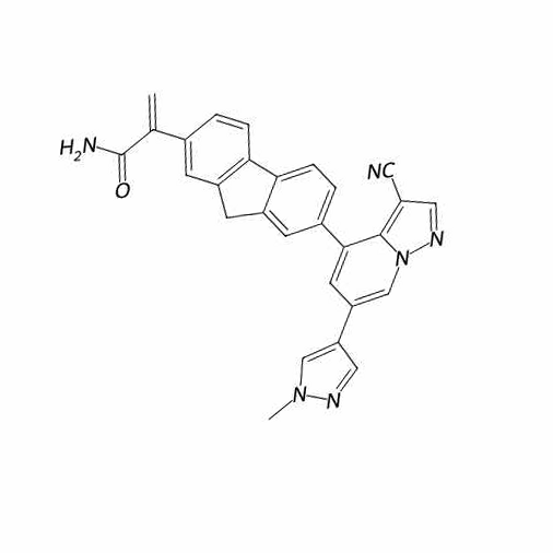 C=C(C(N)=O)c1ccc2c(c1)Cc1cc(-c3cc(-c4cnn(C)c4)cn4ncc(C#N)c34)ccc1-2